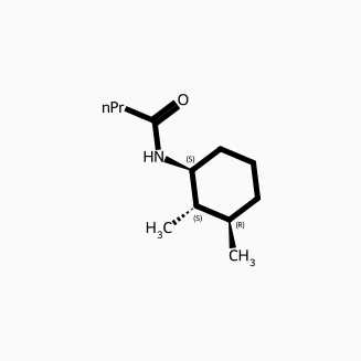 CCCC(=O)N[C@H]1CCC[C@@H](C)[C@@H]1C